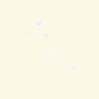 Fc1cc(-c2nc(N3CCOCC3)c3sc(CN4[C@@H]5CNC[C@@H]4C5)cc3n2)c2cc[nH]c2c1